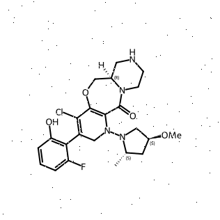 CO[C@H]1C[C@H](C)N(N2CC(c3c(O)cccc3F)=C(Cl)C3=C2C(=O)N2CCNC[C@@H]2CO3)C1